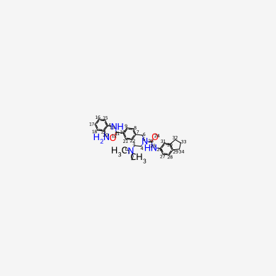 CN(C)CCN(Cc1ccc(C(=O)Nc2ccccc2N)cc1)C(=O)Nc1ccc2c(c1)CCC2